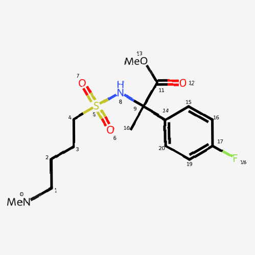 CNCCCCS(=O)(=O)NC(C)(C(=O)OC)c1ccc(F)cc1